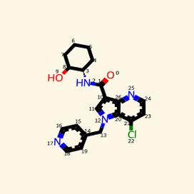 O=C(N[C@H]1CCCCC1O)c1cn(Cc2ccncc2)c2c(Cl)ccnc12